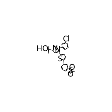 CC(C)(O)c1cc(-c2ccc(-c3cccc(S(C)(=O)=O)c3)s2)n(-c2cccc(Cl)c2)n1